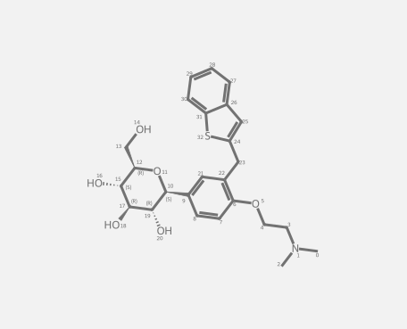 CN(C)CCOc1ccc([C@@H]2O[C@H](CO)[C@@H](O)[C@H](O)[C@H]2O)cc1Cc1cc2ccccc2s1